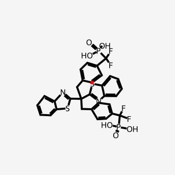 O=P(O)(O)C(F)(F)c1ccc(CC(Cc2ccc(C(F)(F)P(=O)(O)O)cc2)(c2nc3ccccc3s2)c2nc3ccccc3s2)cc1